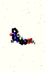 CCc1cc(C(=O)N2CCCCC[C@H]2C)nc2cc(-c3ccc4ccc(OS(=O)(=O)C(F)(F)F)nc4c3F)nn12